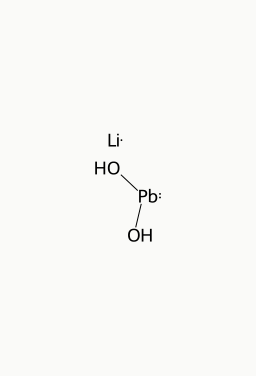 [Li].[OH][Pb][OH]